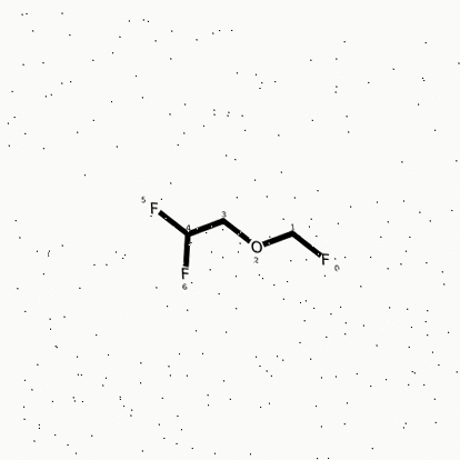 FCOCC(F)F